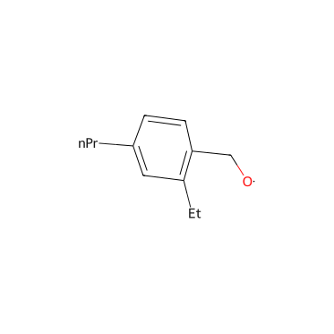 CCCc1ccc(C[O])c(CC)c1